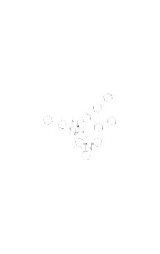 c1ccc(-c2ccc(-c3ccc(-c4nc(-c5ccc(-c6ccccc6)cc5)nc(-c5ccc6c7ccccc7n(-c7cccc(-c8cccc(-c9ccccc9)c8)c7)c6c5)n4)cc3)cc2)cc1